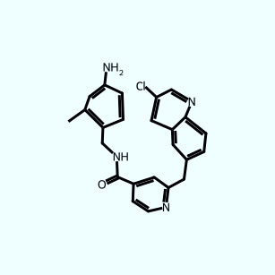 Cc1cc(N)ccc1CNC(=O)c1ccnc(Cc2ccc3ncc(Cl)cc3c2)c1